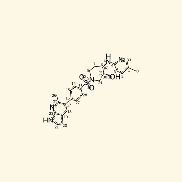 Cc1ccc(N[C@@H]2CCN(S(=O)(=O)c3ccc(-c4cc5cc[nH]c5nc4C)cc3)C[C@@H]2O)nc1